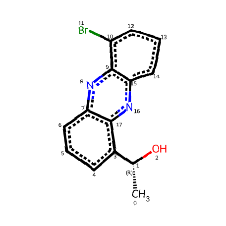 C[C@@H](O)c1cccc2nc3c(Br)cccc3nc12